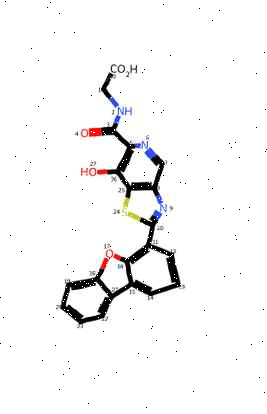 O=C(O)CNC(=O)c1ncc2nc(-c3cccc4c3oc3ccccc34)sc2c1O